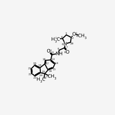 CO[C@@H]1CC(C)N(C(=O)CNC(=O)c2ccc3c(c2)-c2ccccc2C3(C)C)C1